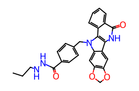 CCCNNC(=O)c1ccc(Cn2c3cc4c(cc3c3[nH]c(=O)c5ccccc5c32)OCO4)cc1